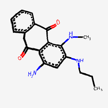 CCCNc1cc(N)c2c(c1NC)C(=O)c1ccccc1C2=O